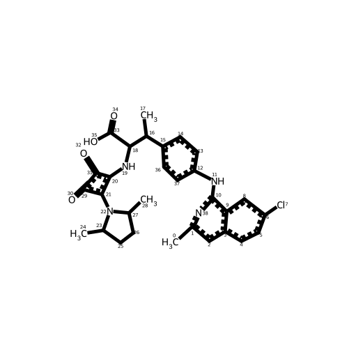 Cc1cc2ccc(Cl)cc2c(Nc2ccc(C(C)C(Nc3c(N4C(C)CCC4C)c(=O)c3=O)C(=O)O)cc2)n1